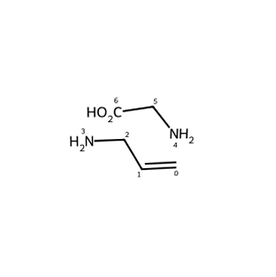 C=CCN.NCC(=O)O